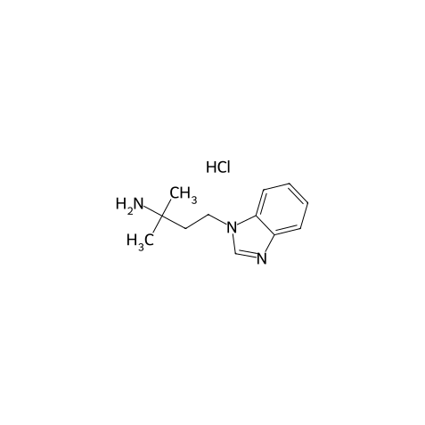 CC(C)(N)CCn1cnc2ccccc21.Cl